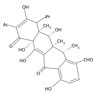 CC(=O)C1=C(O)C(C(C)C)[C@@]2(C)[C@H](O)[C@]3(C)C(=C(O)[C@@]2(O)C1=O)C(=O)c1c(O)ccc(C=O)c1[C@H]3C